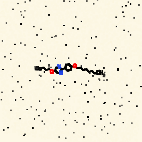 C=CCCCCCCOc1ccc(-c2ncc(OCCCC(C)CC)cn2)cc1